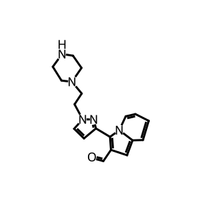 O=Cc1cc2ccccn2c1-c1ccn(CCN2CCNCC2)n1